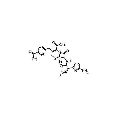 CO/N=C(\C(=O)N[C@@H]1C(=O)N2C(C(=O)O)=C(Cc3ccc(C(=O)O)cc3)CS[C@H]12)c1csc(N)n1